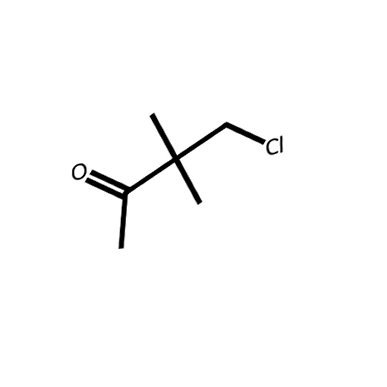 CC(=O)C(C)(C)CCl